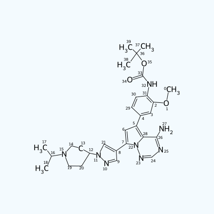 COc1cc(-c2cc(-c3cnn(C4CCN(C(C)C)CC4)c3)n3ncnc(N)c23)ccc1NC(=O)OC(C)(C)C